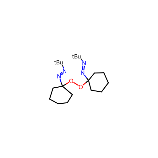 CC(C)(C)/N=N/C1(OOC2(/N=N/C(C)(C)C)CCCCC2)CCCCC1